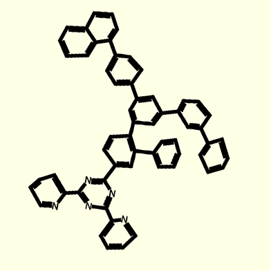 c1ccc(-c2cccc(-c3cc(-c4ccc(-c5cccc6ccccc56)cc4)cc(-c4ccc(-c5nc(-c6ccccn6)nc(-c6ccccn6)n5)cc4-c4ccccc4)c3)c2)cc1